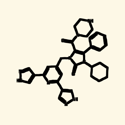 O=C(c1c(-c2ccccc2)n(C2CCCCC2)c(=O)n1Cc1cc(-c2cn[nH]c2)nc(-c2cn[nH]c2)c1)N1CCNCC1